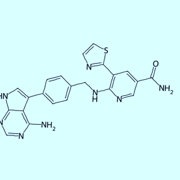 NC(=O)c1cnc(NCc2ccc(-c3c[nH]c4ncnc(N)c34)cc2)c(-c2nccs2)c1